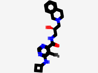 Cc1c(NC2CCC2)ncnc1C(=O)NC[C@H](O)CN1CCc2ccccc2C1